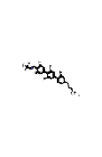 CCCCc1ccc(-c2cc(F)c(-c3cc(F)c(/C=C/C(F)(F)F)c(F)c3)c(F)c2)c(F)c1